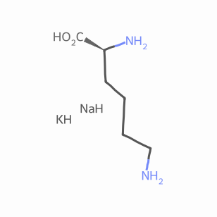 NCCCC[C@H](N)C(=O)O.[KH].[NaH]